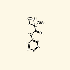 CN[C@@H](CC(=O)O)C(=O)Oc1ccccc1